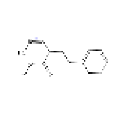 CCOC(=O)C(/C=N\O)CCc1ccccc1